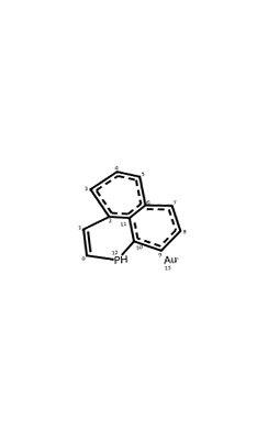 C1=Cc2cccc3cccc(c23)P1.[Au]